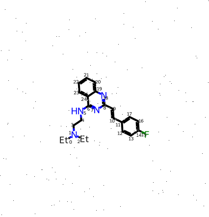 CCN(CC)CCNc1nc(/C=C/c2ccc(F)cc2)nc2ccccc12